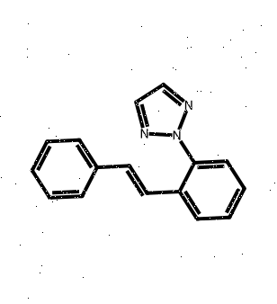 C(=Cc1ccccc1-n1nccn1)c1ccccc1